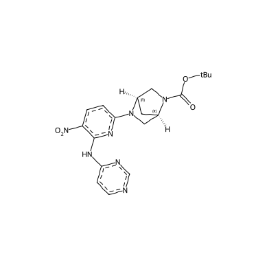 CC(C)(C)OC(=O)N1C[C@H]2C[C@@H]1CN2c1ccc([N+](=O)[O-])c(Nc2ccncn2)n1